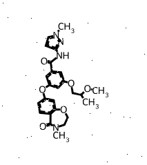 COC(C)COc1cc(Oc2ccc3c(c2)OCCN(C)C3=O)cc(C(=O)Nc2ccn(C)n2)c1